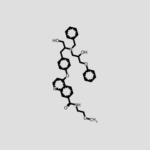 COCCNC(=O)c1ccc2c(Oc3ccc(CC(CO)N(Cc4ccccc4)CC(O)COc4ccccc4)cc3)ccnc2c1